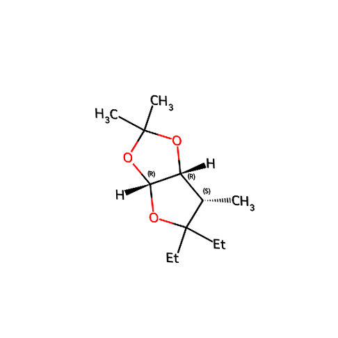 CCC1(CC)O[C@@H]2OC(C)(C)O[C@@H]2[C@@H]1C